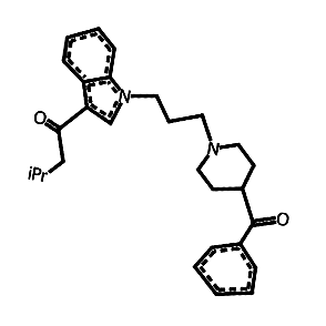 CC(C)CC(=O)c1cn(CCCN2CCC(C(=O)c3ccccc3)CC2)c2ccccc12